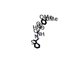 COc1ccc(S(=O)(=O)NCC(=O)N/N=C/c2csc3ccccc23)cc1OC